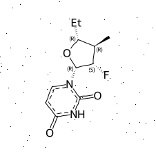 CC[C@H]1O[C@@H](n2ccc(=O)[nH]c2=O)[C@@H](F)[C@@H]1C